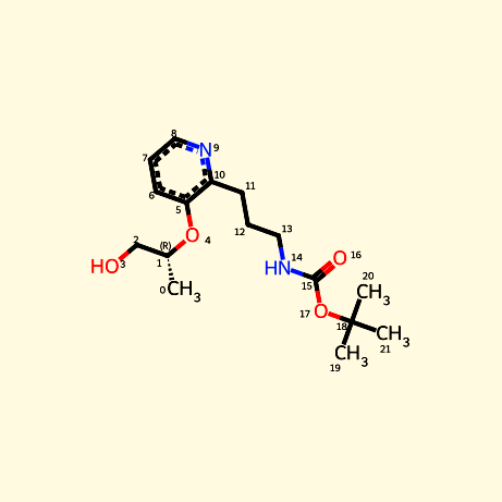 C[C@H](CO)Oc1cccnc1CCCNC(=O)OC(C)(C)C